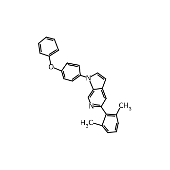 Cc1cccc(C)c1-c1cc2ccn(-c3ccc(Oc4ccccc4)cc3)c2cn1